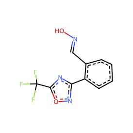 ON=Cc1ccccc1-c1noc(C(F)(F)F)n1